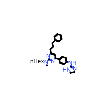 CCCCCCN(C)c1nc(CCCc2ccccc2)cc(-c2ccc(NC3=NCCN3)cc2)n1